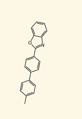 Cc1ccc(-c2ccc(-c3nc4ccccc4o3)cc2)cc1